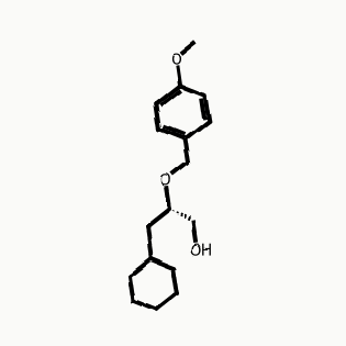 COc1ccc(CO[C@H](CO)CC2CCCCC2)cc1